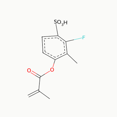 C=C(C)C(=O)Oc1ccc(S(=O)(=O)O)c(F)c1C